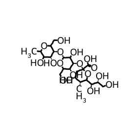 CC1OC(CO)[C@@H](O[C@@H]2OC(CO)[C@H](O)[C@H](O[C@]3(C(=O)O)C[C@@H](O)[C@@H](C)C([C@H](O)[C@H](O)CO)O3)C2O)[C@H](O)C1O